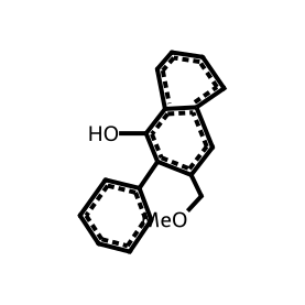 COCc1cc2ccccc2c(O)c1-c1ccccc1